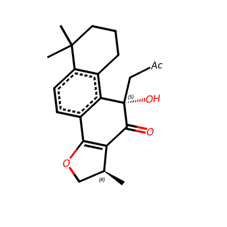 CC(=O)C[C@@]1(O)C(=O)C2=C(OC[C@@H]2C)c2ccc3c(c21)CCCC3(C)C